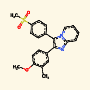 COc1ccc(-c2nc3ccccn3c2-c2ccc(S(C)(=O)=O)cc2)cc1C